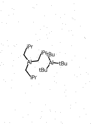 CC(C)[CH2][Al]([CH2]C(C)C)[CH2]C(C)C.C[C](C)(C)[Al]([C](C)(C)C)[C](C)(C)C